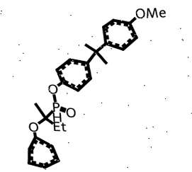 CCC(C)(Oc1ccccc1)[PH](=O)Oc1ccc(C(C)(C)c2ccc(OC)cc2)cc1